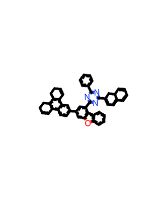 C1=CC2=CC=C(c3nc(-c4ccccc4)nc(-c4cc(-c5ccc6c7c(c8c(c6c5)C=CCC8)CCC=C7)cc5oc6ccccc6c45)n3)CC2C=C1